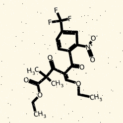 CCO/C=C(\C(=O)c1ccc(C(F)(F)F)cc1[N+](=O)[O-])C(=O)C(C)(C)C(=O)OCC